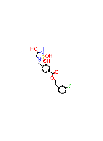 O=C(OCCc1cccc(Cl)c1)c1ccc(CN2CC(O)NS2(O)O)cc1